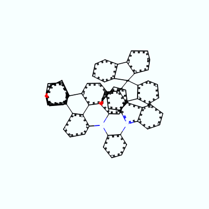 c1ccc(-c2ccccc2-c2c(-c3ccccc3)cccc2N(c2ccc3c(c2)-c2ccccc2C32c3ccccc3-c3ccccc32)c2ccccc2-n2c3ccccc3c3ccccc32)cc1